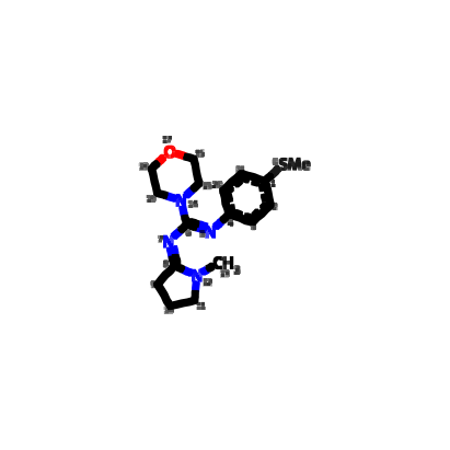 CSc1ccc(N=C(N=C2CCCN2C)N2CCOCC2)cc1